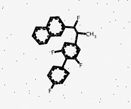 CC(c1cc(F)c(-c2ccc(F)cc2)c(F)c1)C(F)c1ccc2ccccc2c1